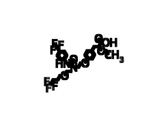 CCOC(Cc1ccc(OCCN(CCOCCCC(F)(F)F)C(=O)Nc2ccc(C(F)(F)F)cc2)cc1)C(=O)O